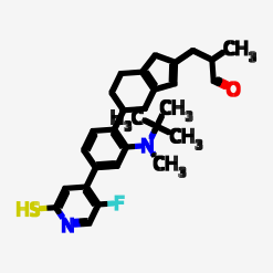 CC(C=O)CC1=CC2=C(CCC(c3ccc(-c4cc(S)ncc4F)cc3N(C)C(C)(C)C)C2)C1